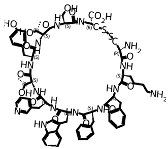 C[C@@H](O)[C@@H]1NC(=O)[C@H](Cc2ccc(O)cc2)NC(=O)[C@H]([C@@H](C)O)NC(=O)[C@H](Cc2cccnc2)NC(=O)[C@H](Cc2c[nH]c3ccccc23)NC(=O)[C@H](Cc2ccccc2)NC(=O)[C@H](Cc2ccccc2)NC(=O)[C@H](CCCCN)NC(=O)[C@@H](N)CSSC[C@@H](C(=O)O)NC(=O)[C@H](CO)NC1=O